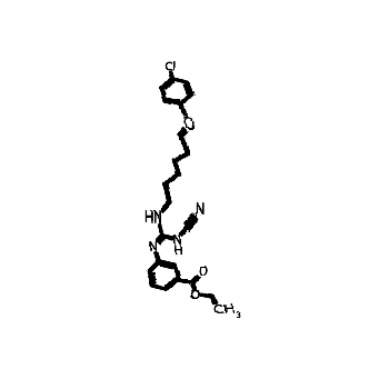 CCOC(=O)c1cccc(N=C(NC#N)NCCCCCCOc2ccc(Cl)cc2)c1